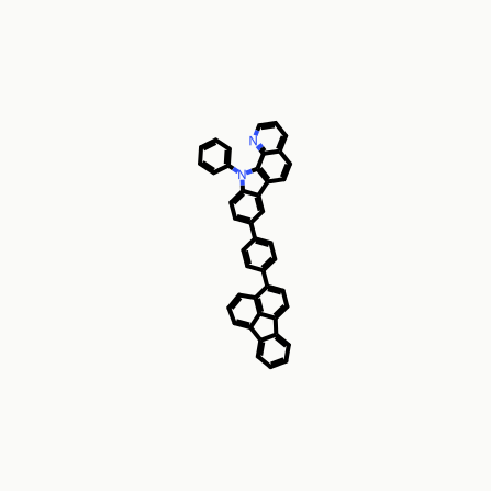 c1ccc(-n2c3ccc(-c4ccc(-c5ccc6c7c(cccc57)-c5ccccc5-6)cc4)cc3c3ccc4cccnc4c32)cc1